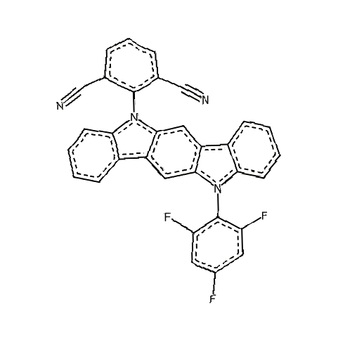 N#Cc1cccc(C#N)c1-n1c2ccccc2c2cc3c(cc21)c1ccccc1n3-c1c(F)cc(F)cc1F